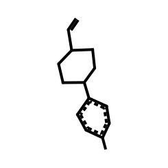 C=CC1CCC(c2ccc(C)cc2)CC1